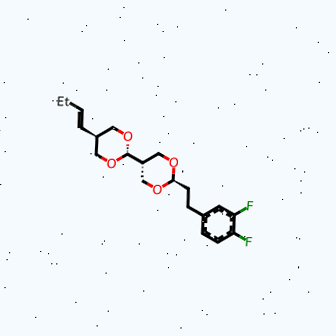 CC/C=C/[C@H]1CO[C@H]([C@H]2CO[C@H](CCc3ccc(F)c(F)c3)OC2)OC1